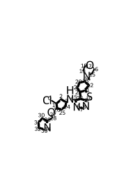 Clc1cc(Nc2ncnc3sc4cc(N5CCOCC5)ccc4c23)ccc1OCc1ccccn1